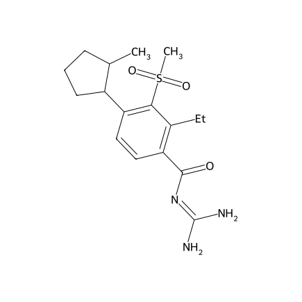 CCc1c(C(=O)N=C(N)N)ccc(C2CCCC2C)c1S(C)(=O)=O